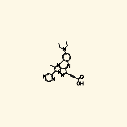 CCN(CC)c1ccc(/N=C2/C(C#CC(=O)O)=Nn3c2nc(C)c3-c2cnccn2)c(C)c1